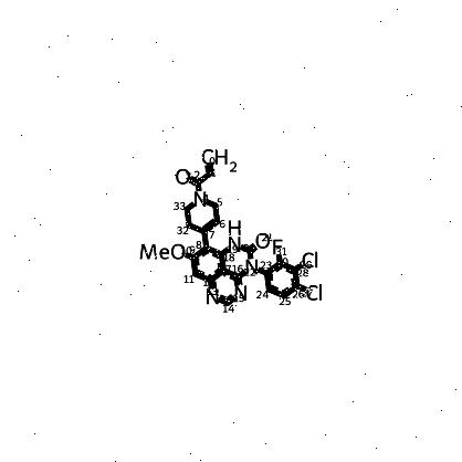 C=CC(=O)N1CC=C(c2c(OC)cc3ncnc4c3c2NC(=O)N4c2ccc(Cl)c(Cl)c2F)CC1